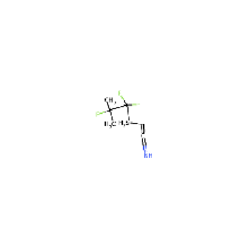 CC(C)(F)C(F)(F)[SiH2]C=C=N